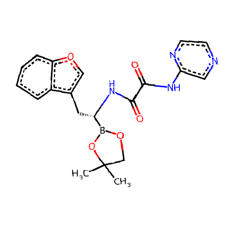 CC1(C)COB([C@H](Cc2coc3ccccc23)NC(=O)C(=O)Nc2cnccn2)O1